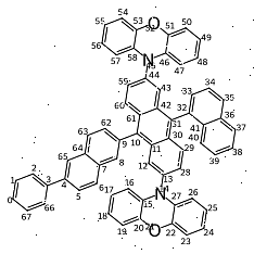 c1ccc(-c2ccc3cc(-c4c5cc(N6c7ccccc7Oc7ccccc76)ccc5c(-c5cccc6ccccc56)c5cc(N6c7ccccc7Oc7ccccc76)ccc45)ccc3c2)cc1